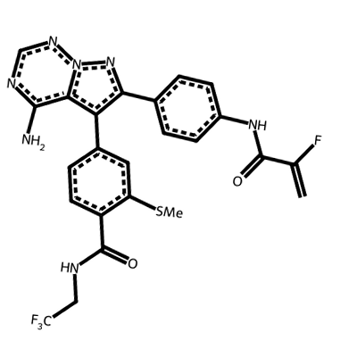 C=C(F)C(=O)Nc1ccc(-c2nn3ncnc(N)c3c2-c2ccc(C(=O)NCC(F)(F)F)c(SC)c2)cc1